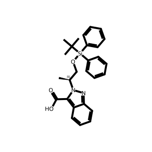 C[C@@H](CO[Si](c1ccccc1)(c1ccccc1)C(C)(C)C)n1nc2ccccc2c1C(=O)O